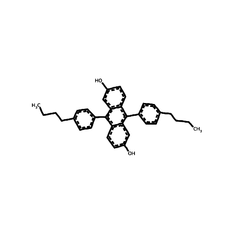 CCCCc1ccc(-c2c3ccc(O)cc3c(-c3ccc(CCCC)cc3)c3ccc(O)cc23)cc1